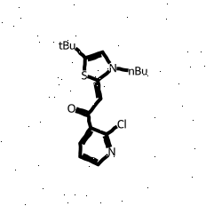 CCCCN1C=C(C(C)(C)C)S/C1=C\C(=O)c1cccnc1Cl